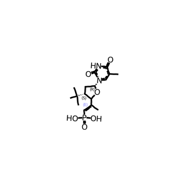 C/C(=C\P(=O)(O)O)C1O[C@@H](n2cc(C)c(=O)[nH]c2=O)C[C@H]1C(C)(C)C